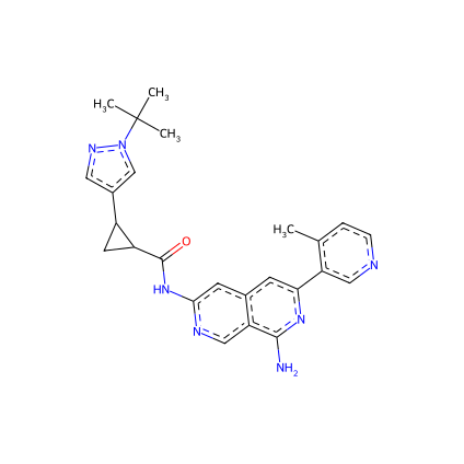 Cc1ccncc1-c1cc2cc(NC(=O)C3CC3c3cnn(C(C)(C)C)c3)ncc2c(N)n1